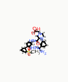 CS(=O)(=O)c1ccccc1-c1ccc(NC(=O)C2CN(CC(=O)O)CCN2c2cccc(C(=N)N)c2)cc1